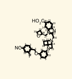 N#Cc1ccc(COc2cccc(N3CC4N(Cc5nc6ccc(C(=O)O)cc6n5C[C@@H]5CCO5)C5CCC543)c2)c(F)c1